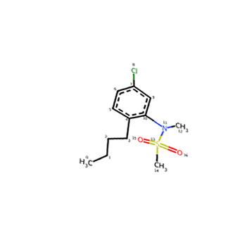 CCCCc1ccc(Cl)cc1N(C)S(C)(=O)=O